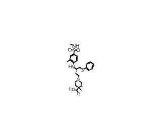 CNS(=O)(=O)c1ccc(N[C@H](CCN2CCC(C)(C(=O)O)CC2)CSc2ccccc2)c(C)c1